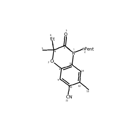 CCCCCN1C(=O)C(C)(CC)Oc2cc(C#N)c(C)cc21